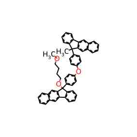 COCCCCOC1(c2ccc(Oc3ccc(C4(C)c5ccccc5-c5cc6ccccc6cc54)cc3)cc2)c2ccccc2-c2cc3ccccc3cc21